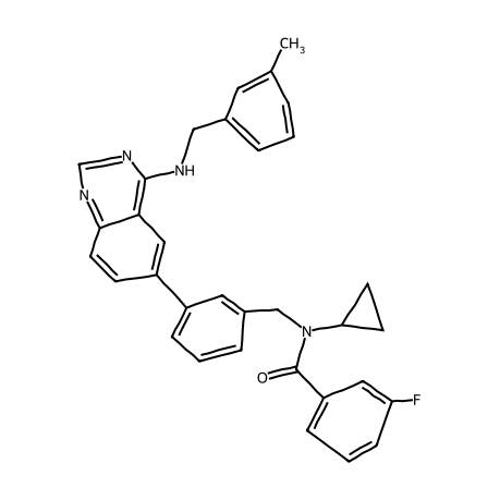 Cc1cccc(CNc2ncnc3ccc(-c4cccc(CN(C(=O)c5cccc(F)c5)C5CC5)c4)cc23)c1